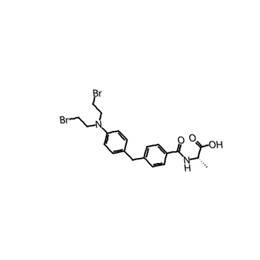 C[C@H](NC(=O)c1ccc(Cc2ccc(N(CCBr)CCBr)cc2)cc1)C(=O)O